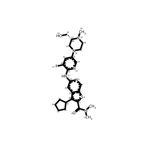 CN(C)C(=O)c1sc2cnc(Nc3ncc(N4CCN(C)[C@@H](CO)C4)cc3F)cc2c1C1CCCC1